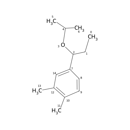 CCC(OC(C)C)c1ccc(C)c(C)c1